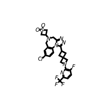 O=S1(=O)CC(N2Cc3cc(Cl)ccc3-n3c(nnc3C3CC4(C3)CN(c3nc(C(F)(F)F)ccc3F)C4)C2)C1